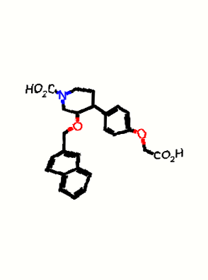 O=C(O)COc1ccc(C2CCN(C(=O)O)CC2OCc2ccc3ccccc3c2)cc1